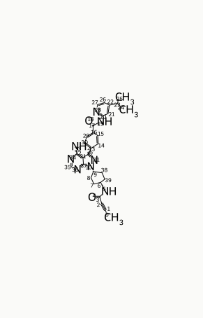 CC#CC(=O)N[C@H]1CC[C@H](n2nc(-c3ccc(C(=O)Nc4cc(C(C)C)ccn4)cc3)c3c(N)ncnc32)CC1